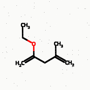 C=C(C)CC(=C)OCC